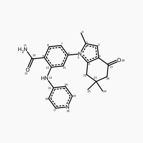 Cc1cc2c(n1-c1ccc(C(N)=O)c(Nc3ccncc3)c1)CC(C)(C)CC2=O